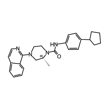 C[C@@H]1CN(c2nccc3ccccc23)CCN1C(=O)Nc1ccc(C2CCCC2)cc1